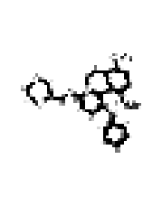 COc1ccc(OC)c2c1CCn1c-2c(Oc2ccccc2)ccc1=NCC1COCCO1